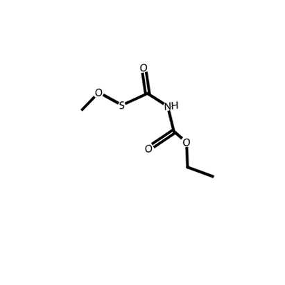 CCOC(=O)NC(=O)SOC